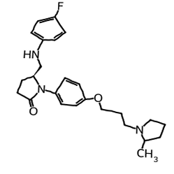 CC1CCCN1CCCOc1ccc(N2C(=O)CC[C@H]2CNc2ccc(F)cc2)cc1